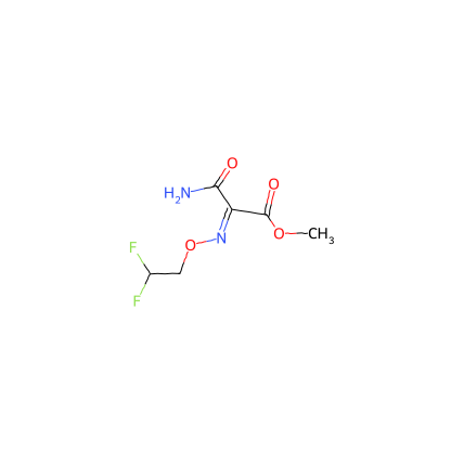 COC(=O)C(=NOCC(F)F)C(N)=O